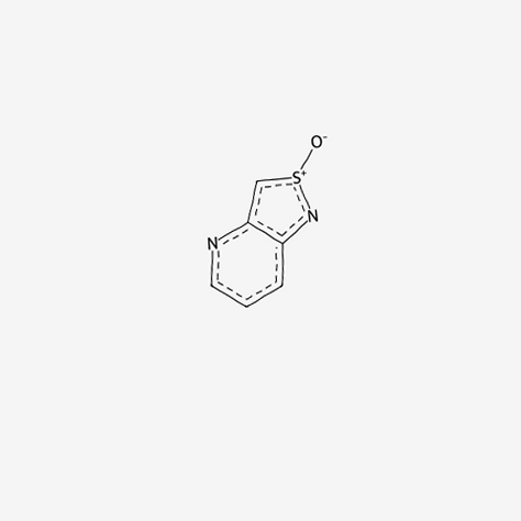 [O-][s+]1cc2ncccc2n1